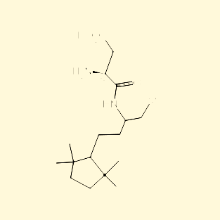 CC1(C)CCC(C)(C)C1CCC(CO)NC(=O)[C@@H](N)CC(=O)O